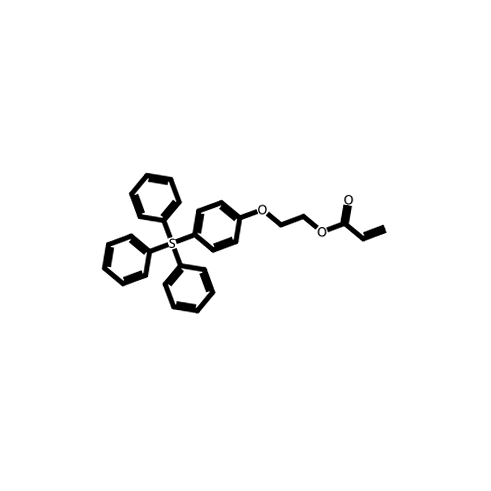 C=CC(=O)OCCOc1ccc(S(c2ccccc2)(c2ccccc2)c2ccccc2)cc1